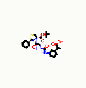 CC(C(=O)O)c1cccc(NC(=O)NCC(=O)N2[C@@H](c3ccccc3)SC[C@H]2C(=O)OC(C)(C)C)c1